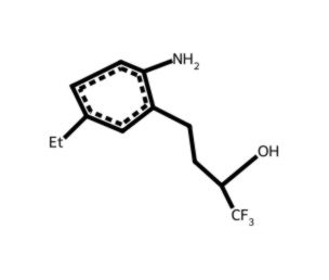 CCc1ccc(N)c(CCC(O)C(F)(F)F)c1